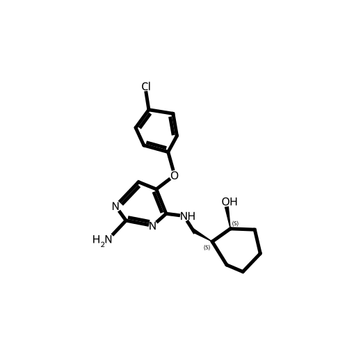 Nc1ncc(Oc2ccc(Cl)cc2)c(NC[C@@H]2CCCC[C@@H]2O)n1